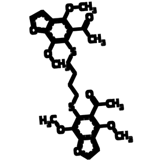 COc1c(C(C)=O)c(SCCCCSc2c(C(C)=O)c(OC)c3ccoc3c2OC)c(OC)c2occc12